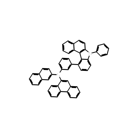 c1ccc(-n2c3cccc(-c4cccc(N(c5ccc6ccccc6c5)c5cc6ccccc6c6ccccc56)c4)c3c3c4ccccc4ccc32)cc1